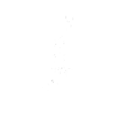 O=C(O)C1(S(=O)(=O)c2ccc(-c3ccc(CCCC(F)(F)F)cc3)cc2)CCN(C2CC2)CC1